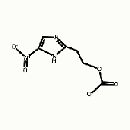 O=C(Cl)OCCc1ncc([N+](=O)[O-])[nH]1